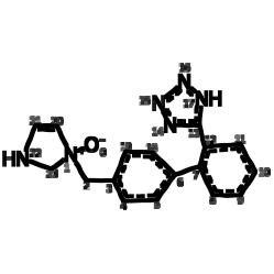 [O-][N+]1(Cc2ccc(-c3ccccc3-c3nnn[nH]3)cc2)C=CNC1